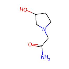 NC(=O)CN1CCC(O)C1